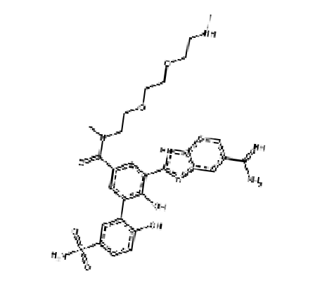 CNCCOCCOCCN(C)C(=O)c1cc(-c2nc3cc(C(=N)N)ccc3[nH]2)c(O)c(-c2cc(S(N)(=O)=O)ccc2O)c1